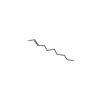 [CH]C=CCCCCCCC